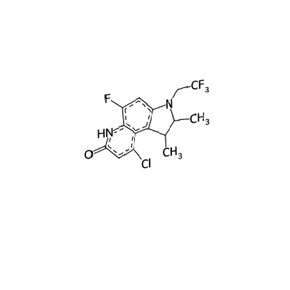 CC1c2c(cc(F)c3[nH]c(=O)cc(Cl)c23)N(CC(F)(F)F)C1C